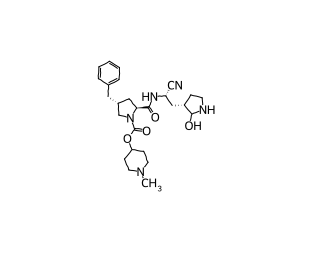 CN1CCC(OC(=O)N2C[C@H](Cc3ccccc3)C[C@H]2C(=O)N[C@H](C#N)C[C@@H]2CCNC2O)CC1